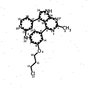 Cc1nc(-c2cccc(OCCCCl)c2)c2c(-c3ccnc(N)c3)c[nH]c2n1